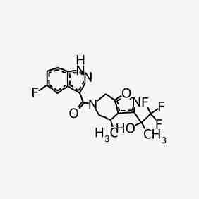 C[C@H]1CN(C(=O)c2n[nH]c3ccc(F)cc23)Cc2onc(C(C)(O)C(F)(F)F)c21